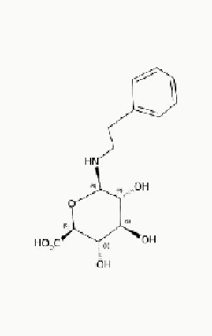 O=C(O)[C@H]1O[C@@H](NCCc2ccccc2)[C@H](O)[C@@H](O)[C@@H]1O